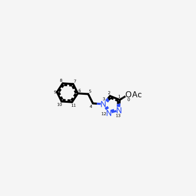 CC(=O)Oc1cn(CCc2ccccc2)nn1